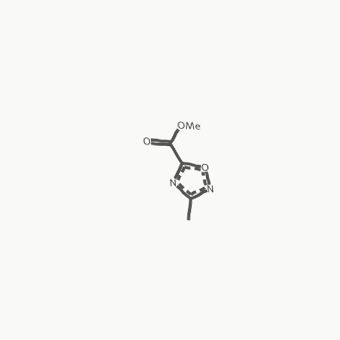 COC(=O)c1nc(C)no1